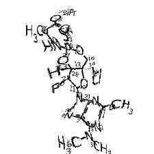 Cc1nc(N(C)C)c2ncn([C@@H]3O[C@]4(CCl)COP(=S)(N[C@@H](C)C(=O)OC(C)C)O[C@H]4[C@@H]3F)c2n1